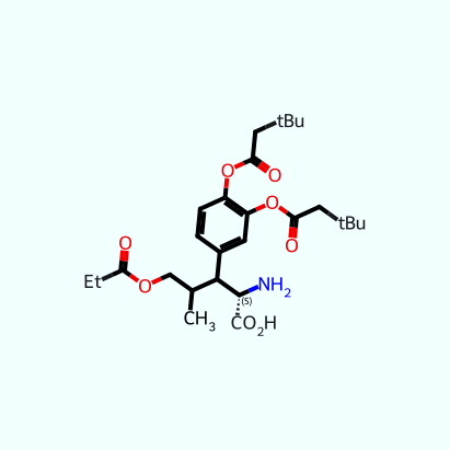 CCC(=O)OCC(C)C(c1ccc(OC(=O)CC(C)(C)C)c(OC(=O)CC(C)(C)C)c1)[C@H](N)C(=O)O